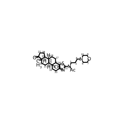 CC(=O)N(CCCN1CCOCC1)c1nc2c(s1)C1CC[C@@H]3[C@H](CC[C@]4(C)C(=O)CC[C@@H]34)[C@@]1(C)CC2